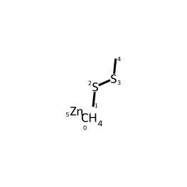 C.CSSC.[Zn]